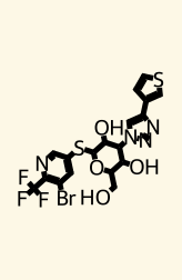 OCC1OC(Sc2cnc(C(F)(F)F)c(Br)c2)C(O)C(n2cc(-c3ccsc3)nn2)C1O